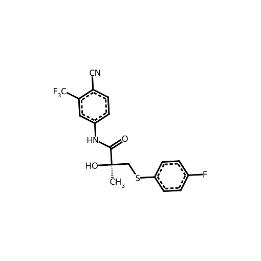 C[C@@](O)(CSc1ccc(F)cc1)C(=O)Nc1ccc(C#N)c(C(F)(F)F)c1